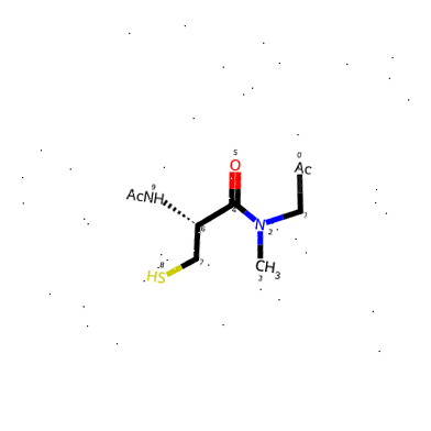 CC(=O)CN(C)C(=O)[C@H](CS)NC(C)=O